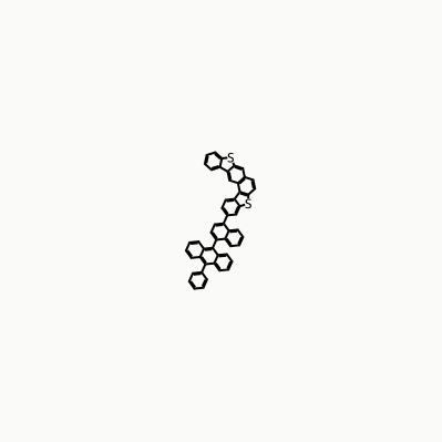 c1ccc(-c2c3ccccc3c(-c3ccc(-c4ccc5c(c4)sc4ccc6cc7sc8ccccc8c7cc6c45)c4ccccc34)c3ccccc23)cc1